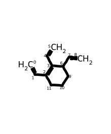 C=CC1=C(C=C)C(C=C)CCC1